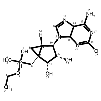 CCO[PH](C)(O)C[C@]12C[C@@H]1[C@@H](N1C=NC3C(N)=NC(Cl)=NC31)[C@H](O)[C@@H]2O